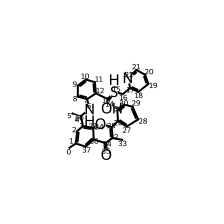 Cc1cc([C@@H](C)Nc2ccccc2C(O)=[SH]Cc2ccccn2)c2oc(-c3ccccc3)c(C)c(=O)c2c1